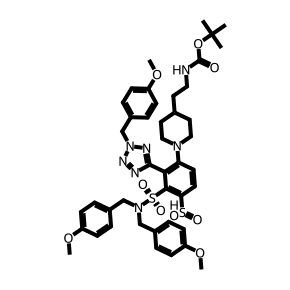 COc1ccc(CN(Cc2ccc(OC)cc2)S(=O)(=O)c2c(S(=O)O)ccc(N3CCC(CCNC(=O)OC(C)(C)C)CC3)c2-c2nnn(Cc3ccc(OC)cc3)n2)cc1